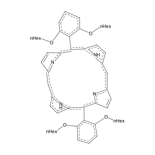 CCCCCCOc1cccc(OCCCCCC)c1-c1c2nc(cc3ccc([nH]3)c(-c3c(OCCCCCC)cccc3OCCCCCC)c3nc(cc4ccc1[nH]4)C=C3)C=C2